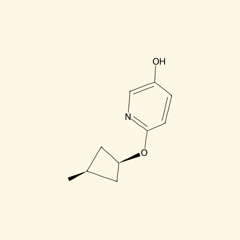 C[C@H]1C[C@@H](Oc2ccc(O)cn2)C1